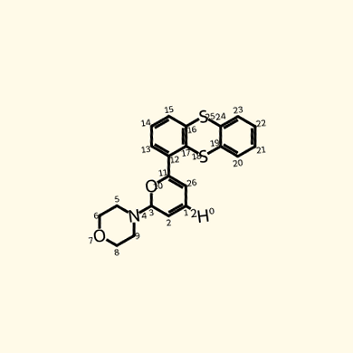 [2H]C1=CC(N2CCOCC2)OC(c2cccc3c2Sc2ccccc2S3)=C1